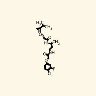 C=C(CCNC(=O)COc1ccc(Cl)c(F)c1)NC(=O)CSON1CC1C(C)C